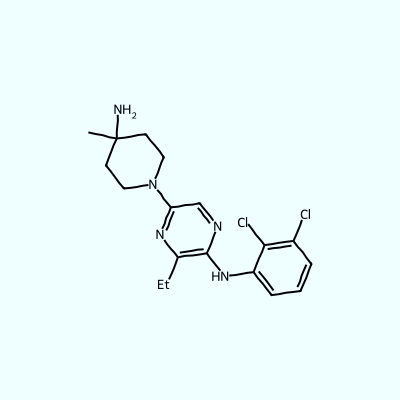 CCc1nc(N2CCC(C)(N)CC2)cnc1Nc1cccc(Cl)c1Cl